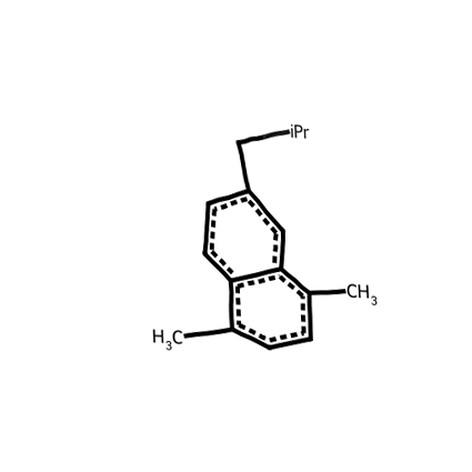 Cc1ccc(C)c2cc(CC(C)C)ccc12